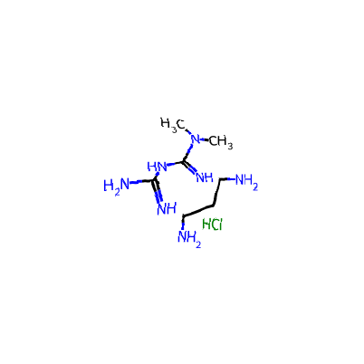 CN(C)C(=N)NC(=N)N.Cl.NCCCN